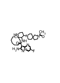 CC(=O)N1CCC2(CCN(C3CCNC4(CCCCCCCC4)C3NC(=O)c3c(N)nn4cc(F)cnc34)CC2)C1